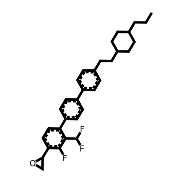 CCCC1CCC(CCc2ccc(-c3ccc(-c4ccc(C5CO5)c(F)c4C(F)F)cc3)cc2)CC1